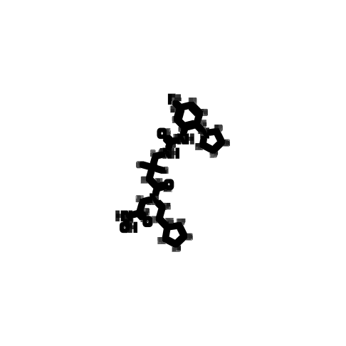 CC(C)(CNC(=O)Nc1cc(F)ccc1N1CCCC1)CC(=O)N(CCC1CCCC1)CC(=O)NO